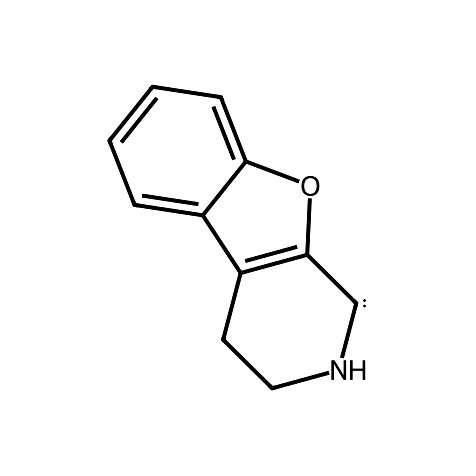 [C]1NCCc2c1oc1ccccc21